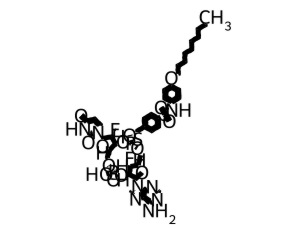 CCCCCCCCCCOc1ccc(NS(=O)(=O)c2ccc(CSP3(=O)OC[C@H]4O[C@@H](n5cnc6c(N)ncnc65)[C@H](OP(=O)(O)OC[C@H]5O[C@@H](n6ccc(=O)[nH]c6=O)[C@H](F)[C@@H]5O3)[C@@H]4F)cc2)cc1